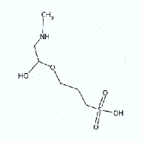 CNCC(O)OCCCS(=O)(=O)O